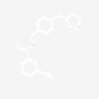 N#Cc1cccc(C(=O)NCc2ccc(OC3CCNC3)cc2)c1